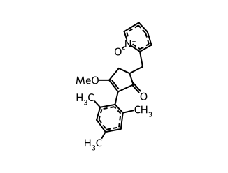 COC1=C(c2c(C)cc(C)cc2C)C(=O)C(Cc2cccc[n+]2[O-])C1